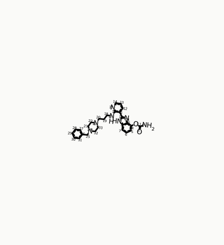 NC(=O)Oc1cccc2[nH]c(-c3cccnc3NCCCN3CCN(Cc4ccccc4)CC3)nc12